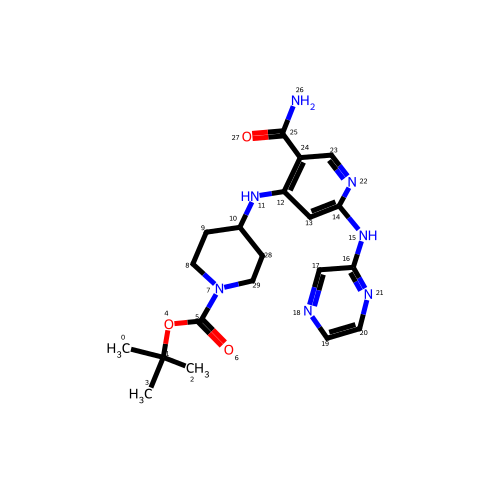 CC(C)(C)OC(=O)N1CCC(Nc2cc(Nc3cnccn3)ncc2C(N)=O)CC1